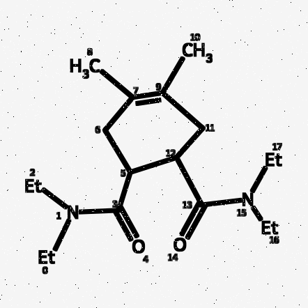 CCN(CC)C(=O)C1CC(C)=C(C)CC1C(=O)N(CC)CC